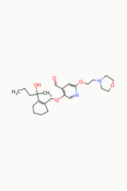 CCCC(C)(O)C1=C(COc2cnc(OCCN3CCOCC3)cc2C=O)CCCC1